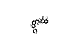 O=C1N=C(Nc2c(Cl)cccc2Cl)SC1=Cc1ccc2ncc(N3CCOCC3)nc2c1